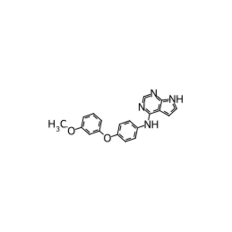 COc1cccc(Oc2ccc(Nc3ncnc4[nH]ccc34)cc2)c1